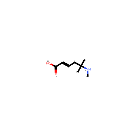 CNC(C)(C)C/C=C/C(=O)O